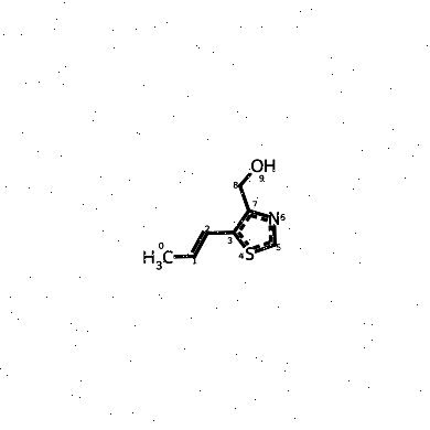 C/C=C/c1scnc1CO